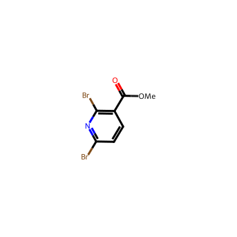 COC(=O)c1ccc(Br)nc1Br